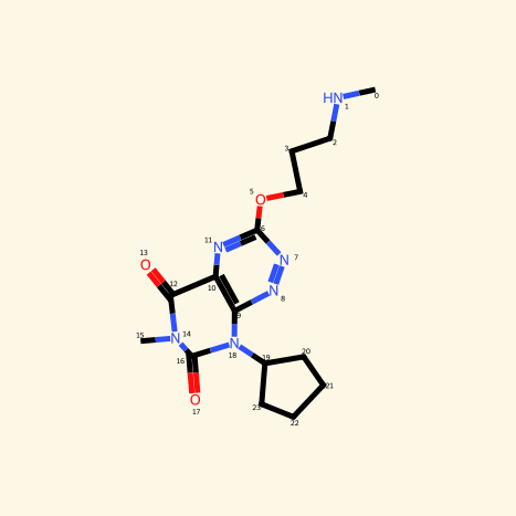 CNCCCOc1nnc2c(n1)c(=O)n(C)c(=O)n2C1CCCC1